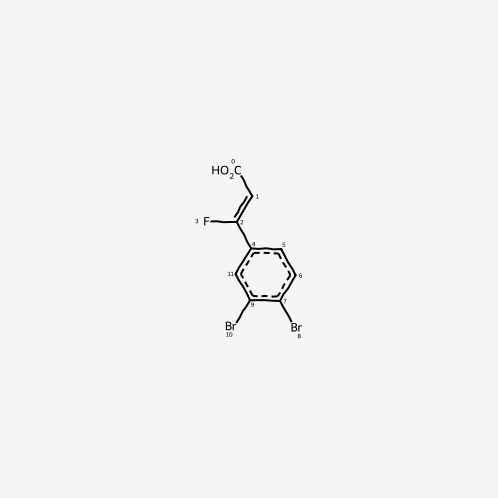 O=C(O)C=C(F)c1ccc(Br)c(Br)c1